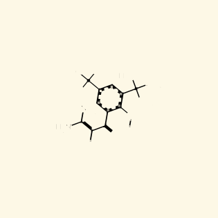 COc1c(C(=O)C(C)=C(N)N)cc(C(C)(C)C)cc1C(C)(C)C